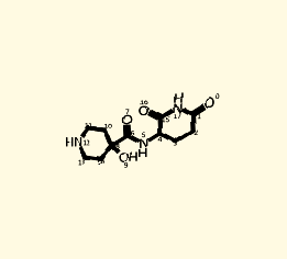 O=C1CCC(NC(=O)C2(O)CCNCC2)C(=O)N1